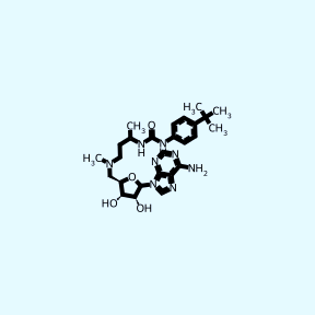 CC(CCN(C)C[C@H]1OC(n2cnc3c(N)ncnc32)[C@H](O)[C@@H]1O)NC(=O)Nc1ccc(C(C)(C)C)cc1